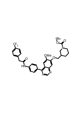 COc1cc2c(-c3ccc(NC(=O)Cc4ccc(C(F)(F)F)cc4)cc3)ncnc2cc1OCC1CCCN(C(=O)OC(C)(C)C)C1